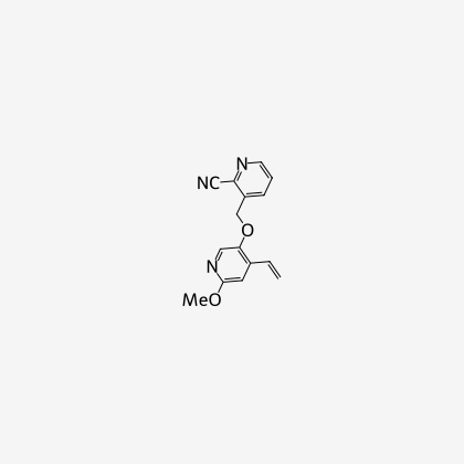 C=Cc1cc(OC)ncc1OCc1cccnc1C#N